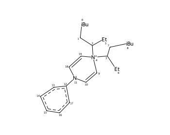 CCC(C)CC(CC)[N+]1(C(CC)CC(C)CC)C=CN(c2ccccc2)C=C1